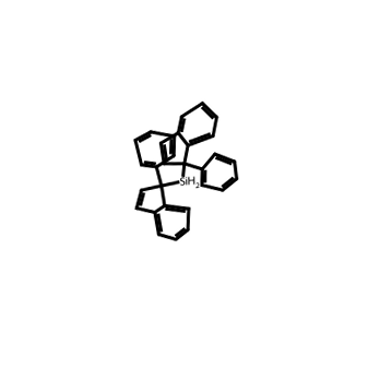 C1=CC([SiH2]C2(c3ccccc3)C=Cc3ccccc32)(c2ccccc2)c2ccccc21